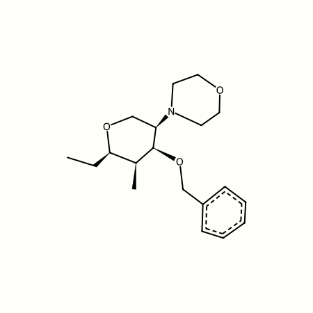 CC[C@H]1OC[C@@H](N2CCOCC2)[C@@H](OCc2ccccc2)[C@H]1C